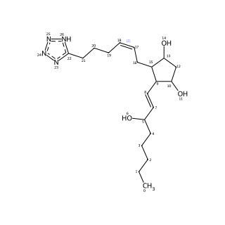 CCCCCC(O)C=CC1C(O)CC(O)C1C/C=C\CCCc1nnn[nH]1